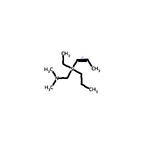 C/C=C\[Si](CC)(CCC)CN(C)C